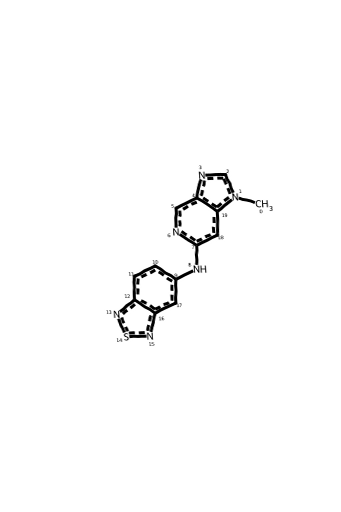 Cn1cnc2cnc(Nc3ccc4nsnc4c3)cc21